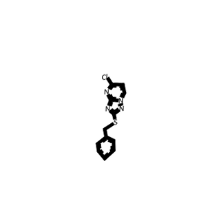 Clc1ccn2nc(SCc3ccccc3)nc2n1